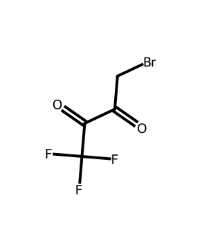 O=C(CBr)C(=O)C(F)(F)F